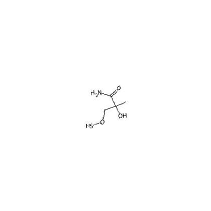 CC(O)(COS)C(N)=O